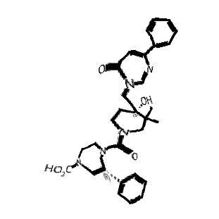 CC1(C)CN(C(=O)N2CCN(C(=O)O)C[C@H]2c2ccccc2)CC[C@@]1(O)Cn1cnc(-c2ccccc2)cc1=O